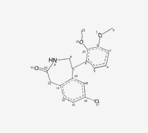 COc1cccc(C2CNC(=O)Cc3ccc(Cl)cc32)c1OC